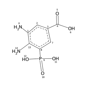 Nc1cc(C(=O)O)cc(P(=O)(O)O)c1N